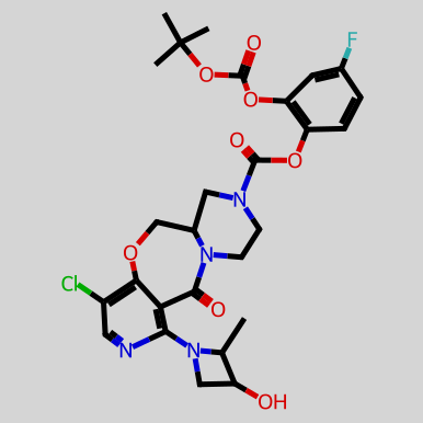 CC1C(O)CN1c1ncc(Cl)c2c1C(=O)N1CCN(C(=O)Oc3ccc(F)cc3OC(=O)OC(C)(C)C)CC1CO2